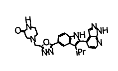 CC(C)c1c(-c2ccnc3[nH]ncc23)[nH]c2ccc(-c3nnc(CN4CCNC(=O)C4)o3)cc12